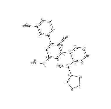 CCCCCCc1cccc(-c2cn(OCCC)cc(-c3ccccc3[S+]([O-])C3CCCC3)c2=O)c1